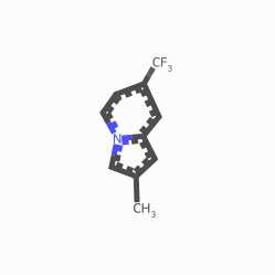 Cc1cc2cc(C(F)(F)F)ccn2c1